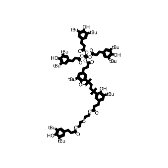 CC(C)(C)c1cc(CCC(=O)OCCSCCOC(=O)CCc2cc(C(C)(C)C)c(O)c(C(C)(C)CCC(C)(C)c3cc(CCC(=O)OC(OC(=O)CCc4cc(C(C)(C)C)c(O)c(C(C)(C)C)c4)(OC(=O)CCc4cc(C(C)(C)C)c(O)c(C(C)(C)C)c4)OC(=O)CCc4cc(C(C)(C)C)c(O)c(C(C)(C)C)c4)cc(C(C)(C)C)c3O)c2)cc(C(C)(C)C)c1O